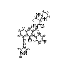 Cc1nn2cccnc2c1C(=O)N[C@@H](C)c1cc2cccc(C#Cc3cnn(C)c3)c2c(=O)n1-c1ccc(F)cc1